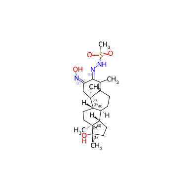 CC1=C2CC[C@@H]3[C@H](CC[C@@]4(C)[C@H]3CC[C@]4(C)O)[C@@]2(C)CC(=N/O)/C1=N/NS(C)(=O)=O